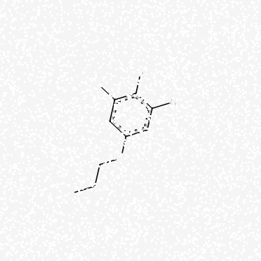 CCCOc1cc(C)c(N)c(N)c1